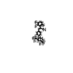 N#CC(=Cc1ccc(-n2nc(C(F)(F)F)cc2C(F)(F)F)cc1)c1c(F)ccc(F)c1F